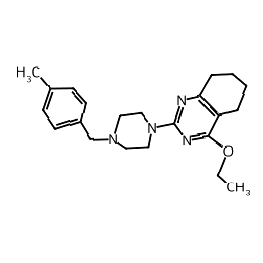 CCOc1nc(N2CCN(Cc3ccc(C)cc3)CC2)nc2c1CCCC2